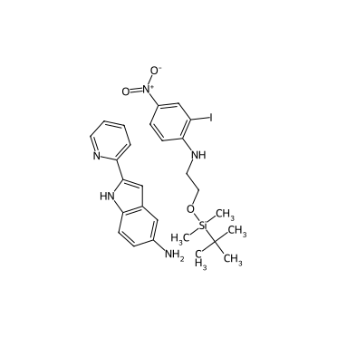 CC(C)(C)[Si](C)(C)OCCNc1ccc([N+](=O)[O-])cc1I.Nc1ccc2[nH]c(-c3ccccn3)cc2c1